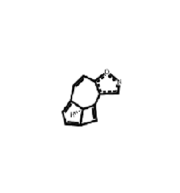 C1=Cc2oncc2C2=CC3=CC=C1[C@H]32